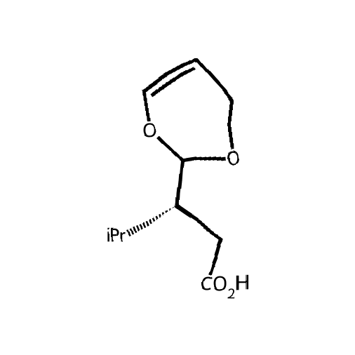 CC(C)[C@@H](CC(=O)O)C1OC=CCO1